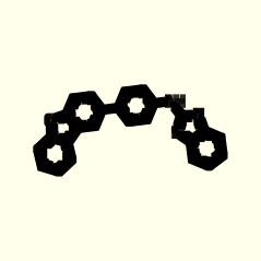 c1ccc2sc(Nc3ccc(-c4ccc5oc6ccccc6c5c4)cc3)nc2c1